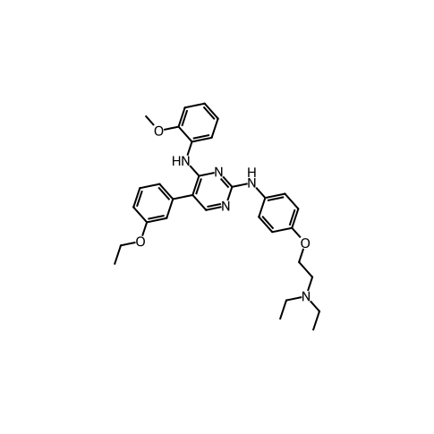 CCOc1cccc(-c2cnc(Nc3ccc(OCCN(CC)CC)cc3)nc2Nc2ccccc2OC)c1